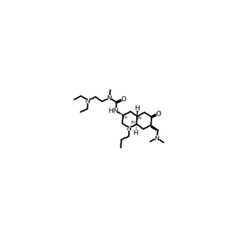 CCCN1C[C@@H](NC(=O)N(C)CCN(CC)CC)C[C@@H]2CC(=O)C(=CN(C)C)C[C@H]21